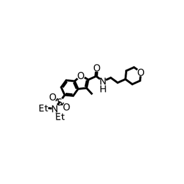 CCN(CC)S(=O)(=O)c1ccc2oc(C(=O)NCCC3CCOCC3)c(C)c2c1